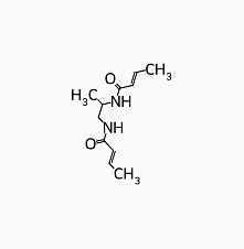 CC=CC(=O)NCC(C)NC(=O)C=CC